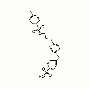 Cc1ccc(S(=O)(=O)OCCCc2ccc(Cc3ccc(S(=O)(=O)O)cc3)cc2)cc1